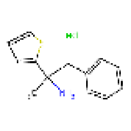 CC(N)(Cc1ccccc1)c1cccs1.Cl